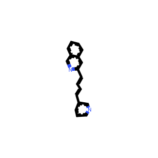 C(/C=C/c1cc2ccccc2cn1)=C\c1cccnc1